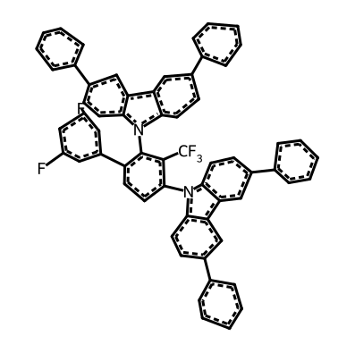 Fc1cc(F)cc(-c2ccc(-n3c4ccc(-c5ccccc5)cc4c4cc(-c5ccccc5)ccc43)c(C(F)(F)F)c2-n2c3ccc(-c4ccccc4)cc3c3cc(-c4ccccc4)ccc32)c1